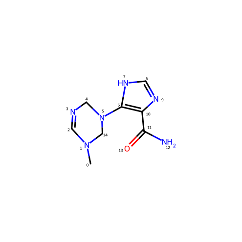 CN1C=NCN(c2[nH]cnc2C(N)=O)C1